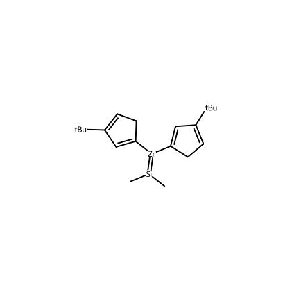 C[Si](C)=[Zr]([C]1=CC(C(C)(C)C)=CC1)[C]1=CC(C(C)(C)C)=CC1